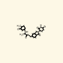 Cc1ccc(NC(C)C(=O)NCc2ccc3c(c2)CN(C2CCC(=O)NC2=O)C3=O)cc1Cl